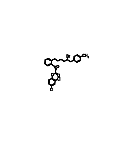 Cc1ccc(CC(Br)CCCCc2ccccc2C2OC2C(=O)Oc2ccc(Cl)cc2Cl)cc1